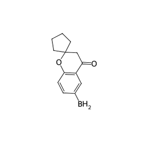 Bc1ccc2c(c1)C(=O)CC1(CCCC1)O2